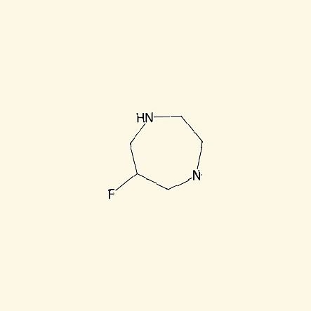 FC1C[N]CCNC1